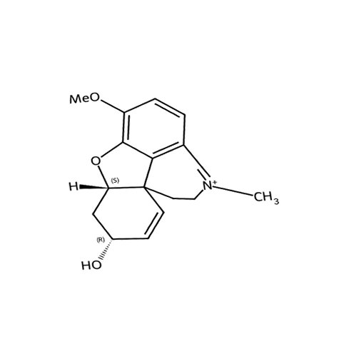 COc1ccc2c3c1O[C@H]1C[C@@H](O)C=CC31CC[N+](C)=C2